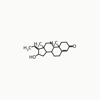 CC=C1C(O)CC2C3CCC4=CC(=O)CCC4(C)C3CCC12C